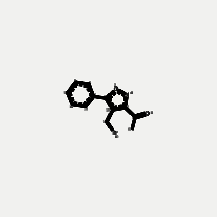 CC(=O)c1noc(-c2ccccc2)c1CBr